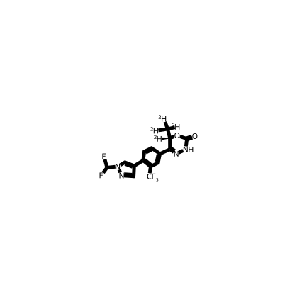 [2H]C([2H])([2H])[C@]1([2H])OC(=O)NN=C1c1ccc(-c2cnn(C(F)F)c2)c(C(F)(F)F)c1